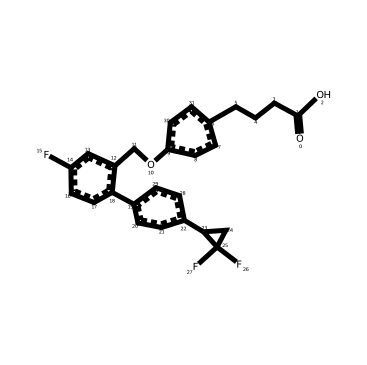 O=C(O)CCCc1ccc(OCc2cc(F)ccc2-c2ccc(C3CC3(F)F)cc2)cc1